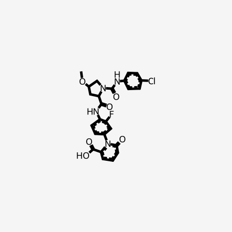 COC1CC(C(=O)Nc2ccc(-n3c(C(=O)O)cccc3=O)cc2F)N(C(=O)Nc2ccc(Cl)cc2)C1